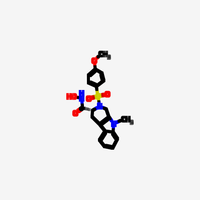 COc1ccc(S(=O)(=O)N2Cc3c(c4ccccc4n3C)C[C@@H]2C(=O)NO)cc1